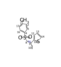 Cc1ccc(S(=O)(=O)/C=C(/I)c2cccs2)cc1